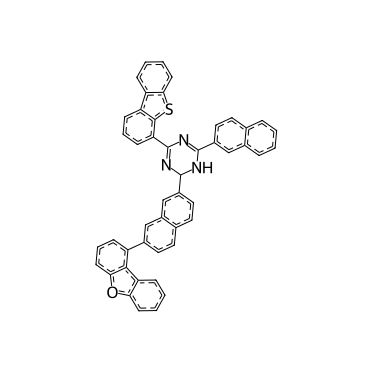 c1ccc2cc(C3=NC(c4cccc5c4sc4ccccc45)=NC(c4ccc5ccc(-c6cccc7oc8ccccc8c67)cc5c4)N3)ccc2c1